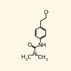 CN(C)C(=O)Nc1ccc(CC[O])cc1